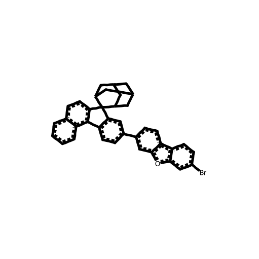 Brc1ccc2c(c1)oc1cc(-c3ccc4c(c3)C3(c5ccc6ccccc6c5-4)C4CC5CC(C4)CC3C5)ccc12